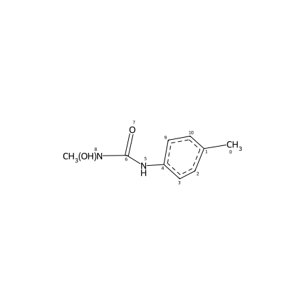 Cc1ccc(NC(=O)N(C)O)cc1